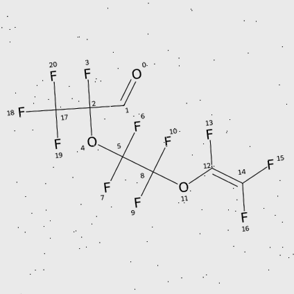 O=CC(F)(OC(F)(F)C(F)(F)OC(F)=C(F)F)C(F)(F)F